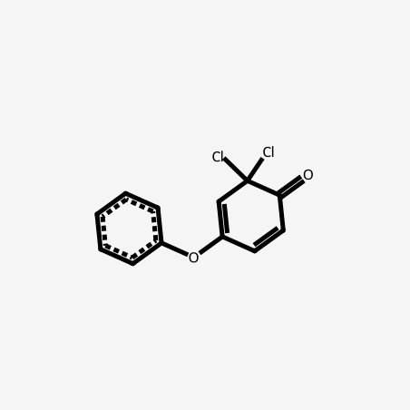 O=C1C=CC(Oc2ccccc2)=CC1(Cl)Cl